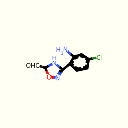 Nc1cc(Cl)ccc1C1=NOC(C=O)N1